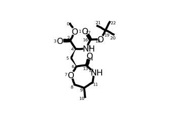 COC(=O)[C@H](C[C@@H]1OCC(C)CNC1=O)NC(=O)OC(C)(C)C